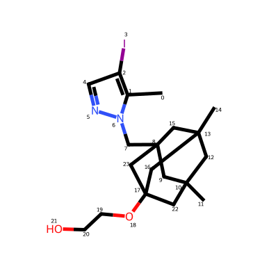 Cc1c(I)cnn1CC12CC3(C)CC(C)(C1)CC(OCCO)(C3)C2